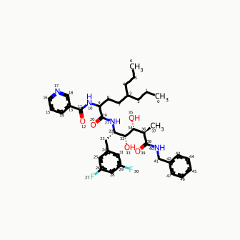 CCCC(CCC)CCC(NC(=O)c1cccnc1)C(=O)N[C@@H](Cc1cc(F)cc(F)c1)[C@@H](O)[C@H](O)[C@@H](C)C(=O)NCc1ccccc1